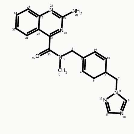 CN(CC1=CCC(Cn2cncn2)C=C1)C(=O)c1nc(N)nc2ccccc12